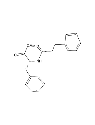 COC(=O)[C@@H](Cc1ccccc1)NC(=O)CCc1ccccc1